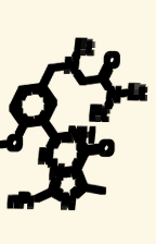 CCCc1nc(C)c2c(=O)[nH]c(-c3cc(CN(CC)CC(=O)N(CC)CC)ccc3OCC)nn12